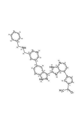 CC(=O)c1ccc(-c2ccnc3[nH]c(-c4n[nH]c5ccc(-c6cncc(CNCc7ccccc7)c6)cc45)nc23)s1